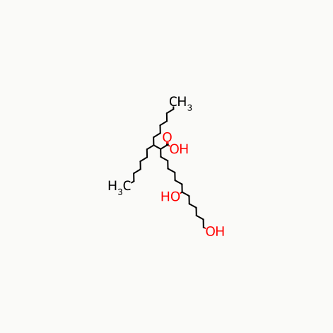 CCCCCCCC(CCCCCCC)C(CCCCCCC(O)CCCCCCO)C(=O)O